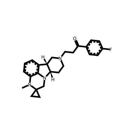 CN1c2cccc3c2N(CC12CC2)[C@H]1CCN(CCC(=O)c2ccc(F)cc2)C[C@@H]31